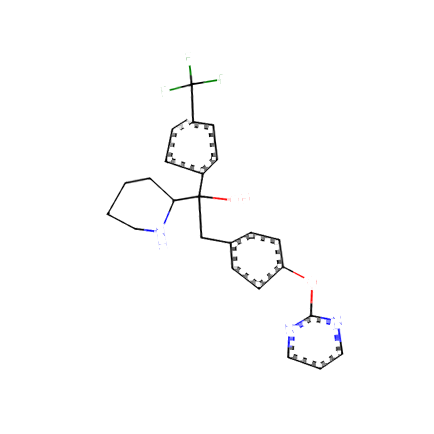 OC(Cc1ccc(Oc2ncccn2)cc1)(c1ccc(C(F)(F)F)cc1)C1CCCCN1